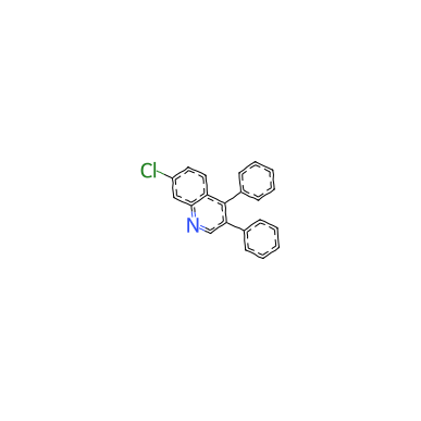 Clc1ccc2c(-c3ccccc3)c(-c3ccccc3)cnc2c1